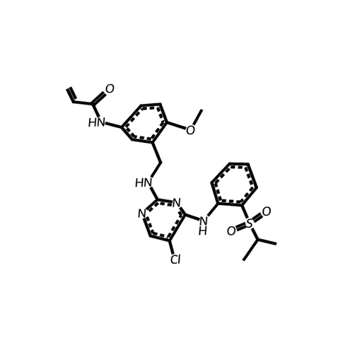 C=CC(=O)Nc1ccc(OC)c(CNc2ncc(Cl)c(Nc3ccccc3S(=O)(=O)C(C)C)n2)c1